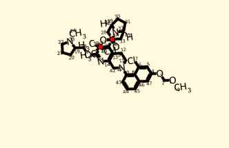 COCOc1cc(Cl)c2c(N3CCc4c(nc(OCC5CCCN5C)nc4N4C[C@H]5CC[C@@H](C4)N5C(=O)OC(C)(C)C)C3)cccc2c1